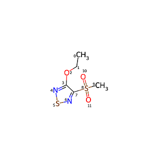 CCOc1nsnc1S(C)(=O)=O